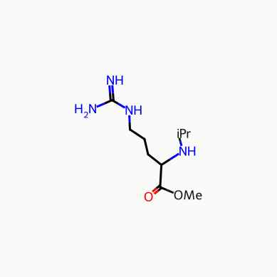 COC(=O)C(CCCNC(=N)N)NC(C)C